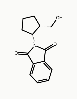 O=C1c2ccccc2C(=O)N1[C@@H]1CCC[C@@H]1CO